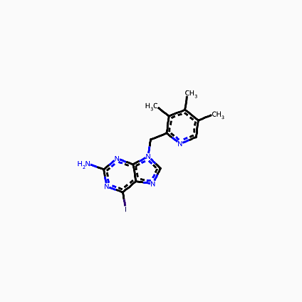 Cc1cnc(Cn2cnc3c(I)nc(N)nc32)c(C)c1C